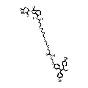 CCC(=C(c1ccc(O)cc1)c1ccc(OCCNC(=O)CCOCCOCCOCCOCCC(=O)Nc2cccc3c2CN(C2CCC(=O)NC2=O)C3=O)cc1)c1ccc(O)cc1